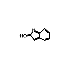 [CH]=C1C=c2ccccc2=N1